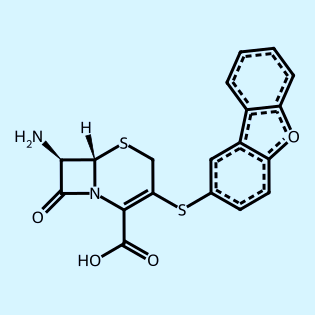 N[C@@H]1C(=O)N2C(C(=O)O)=C(Sc3ccc4oc5ccccc5c4c3)CS[C@@H]12